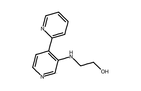 OCCNc1[c]nccc1-c1ccccn1